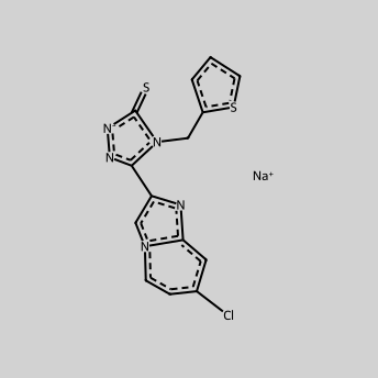 S=c1[n-]nc(-c2cn3ccc(Cl)cc3n2)n1Cc1cccs1.[Na+]